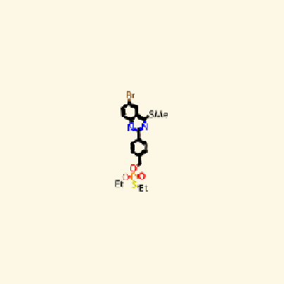 CCOP(=O)(OCc1ccc(-c2nc(SC)c3cc(Br)ccc3n2)cc1)SCC